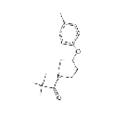 Cc1ccc(OC2CCN(C(=O)C(C)(C)C)CC2)cc1